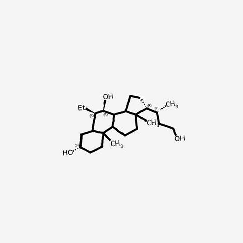 CC[C@@H]1C2C[C@@H](O)CCC2(C)C2CCC3(C)C(CC[C@@H]3[C@H](C)CCO)C2[C@@H]1O